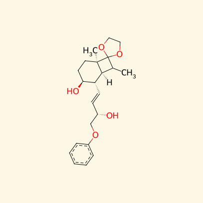 CC1[C@H]2[C@H](/C=C/[C@H](O)COc3ccccc3)[C@@H](O)CC[C@@]2(C)C12OCCO2